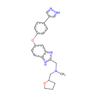 CN(Cc1nc2cc(Oc3ccc(-c4cn[nH]c4)cc3)ccc2[nH]1)CC1CCCO1